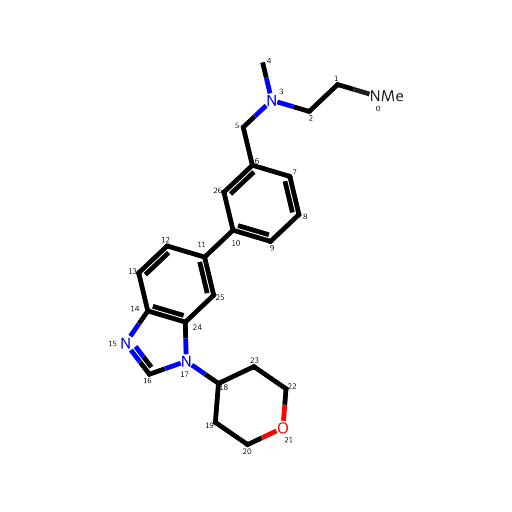 CNCCN(C)Cc1cccc(-c2ccc3ncn(C4CCOCC4)c3c2)c1